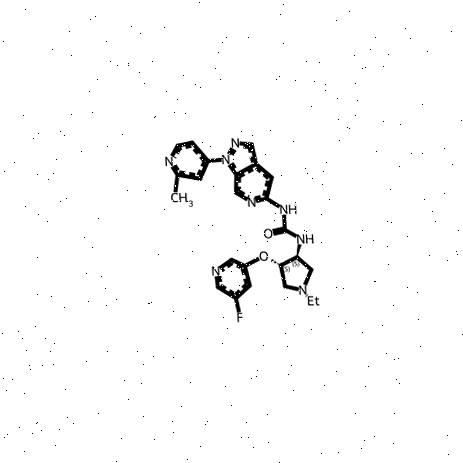 CCN1C[C@H](NC(=O)Nc2cc3cnn(-c4ccnc(C)c4)c3cn2)[C@@H](Oc2cncc(F)c2)C1